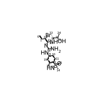 C=C/C(Br)=C(\N=C(/N)Nc1ccc(S(C)(=N)=O)c(C)c1)N[C@H](C)[C@@H](C)O